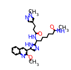 CNC(=O)CCCCCC(NC(=O)CCc1cnn(C)c1)c1ncc(-c2cc3ccccc3nc2OC)[nH]1